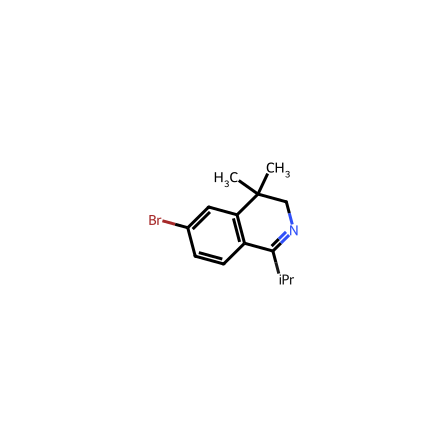 CC(C)C1=NCC(C)(C)c2cc(Br)ccc21